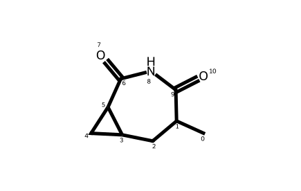 CC1CC2CC2C(=O)NC1=O